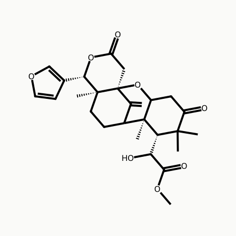 C=C1C2CC[C@@]3(C)[C@H](c4ccoc4)OC(=O)C[C@]13OC1CC(=O)C(C)(C)[C@H](C(O)C(=O)OC)[C@]12C